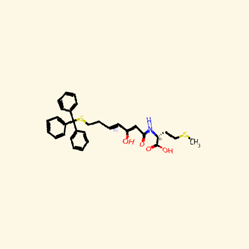 CSCC[C@@H](NC(=O)CC(O)/C=C/CCSC(c1ccccc1)(c1ccccc1)c1ccccc1)C(=O)O